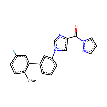 COc1ccc(F)cc1-c1cccc(-n2cnc(C(=O)n3cccn3)c2)c1